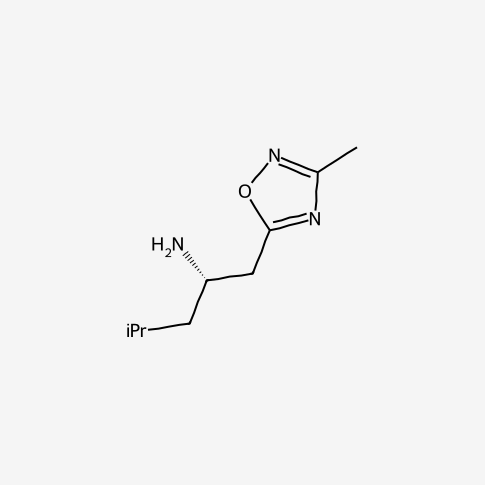 Cc1noc(C[C@@H](N)CC(C)C)n1